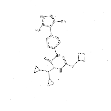 Cc1n[nH]c(C)c1-c1ccc(NC(=O)C(NC(=O)OC2CCC2)C(C2CC2)C2CC2)cc1